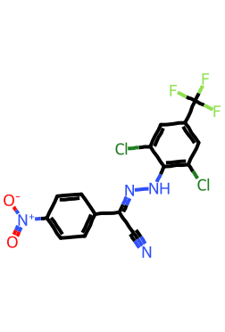 N#CC(=NNc1c(Cl)cc(C(F)(F)F)cc1Cl)c1ccc([N+](=O)[O-])cc1